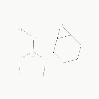 C1CCC2OC2C1.CCO[SiH](OCC)OCC